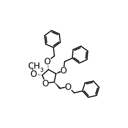 CO[C@H]1O[C@H](COCc2ccccc2)[C@H](OCc2ccccc2)[C@H]1OCc1ccccc1